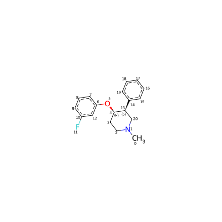 CN1CC[C@@H](Oc2cccc(F)c2)[C@@H](c2ccccc2)C1